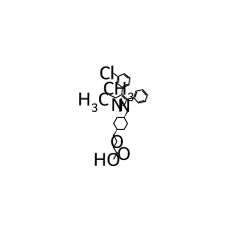 CC(C)c1nn(C[C@H]2CC[C@@H](COCC(=O)O)CC2)c(-c2ccccc2)c1-c1cccc(Cl)c1